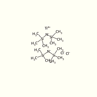 C[Si](C)(C)[N-][Si](C)(C)C.C[Si](C)(C)[N-][Si](C)(C)C.[Cl-].[Cl-].[Ti+4]